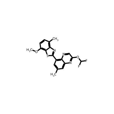 COc1ccc(C)c2nc(-c3cc(C)cc4nc(OC(F)F)cnc34)sc12